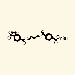 CCCCOC(=O)c1ccc(C(=O)OCCCCOC(=O)c2ccc(C(=O)OC)cc2)cc1